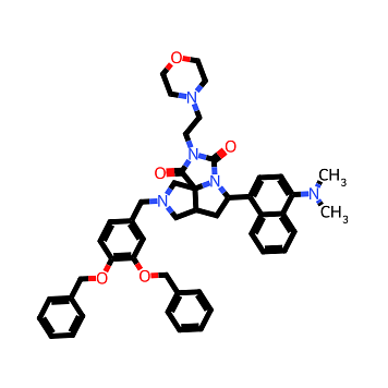 CN(C)c1ccc(C2CC3CN(Cc4ccc(OCc5ccccc5)c(OCc5ccccc5)c4)CC34C(=O)N(CCN3CCOCC3)C(=O)N24)c2ccccc12